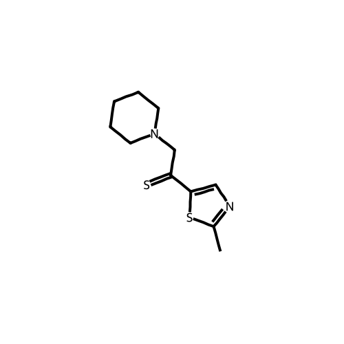 Cc1ncc(C(=S)CN2CCCCC2)s1